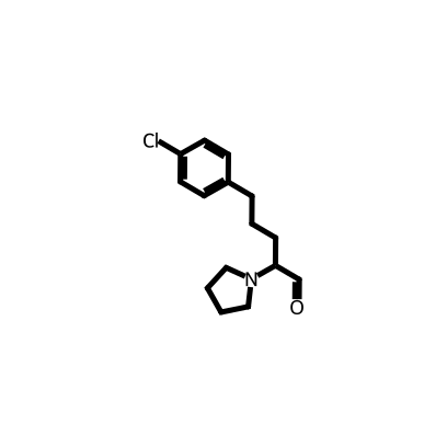 O=CC(CCCc1ccc(Cl)cc1)N1CCCC1